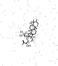 C=C(C)[C@@H](O)[C@H]1C[C@@H](C)[C@H]2[C@H](O1)[C@H](O[Si](CC)(CC)CC)[C@@]1(C)[C@@H]3CC[C@H]4C(C)(C)C(C)CC[C@@]45C[C@@]35CC[C@]21C